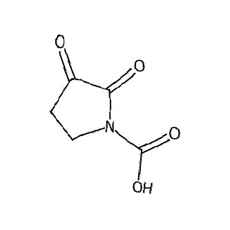 O=C1CCN(C(=O)O)C1=O